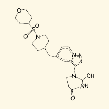 O=C1CCN(c2cnn3ccc(CC4CCN(S(=O)(=O)C5CCOCC5)CC4)cc23)C(O)N1